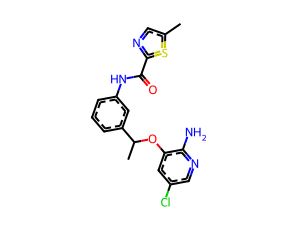 Cc1cnc(C(=O)Nc2cccc(C(C)Oc3cc(Cl)cnc3N)c2)s1